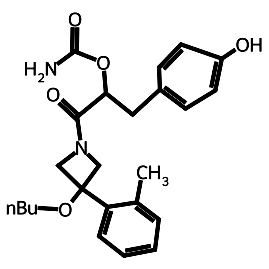 CCCCOC1(c2ccccc2C)CN(C(=O)C(Cc2ccc(O)cc2)OC(N)=O)C1